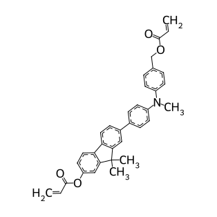 C=CC(=O)OCc1ccc(N(C)c2ccc(-c3ccc4c(c3)C(C)(C)c3cc(OC(=O)C=C)ccc3-4)cc2)cc1